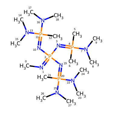 CN=P(N=P(C)(C)N(C)C)(N=P(C)(N(C)C)N(C)C)N=P(C)(N(C)C)N(C)C